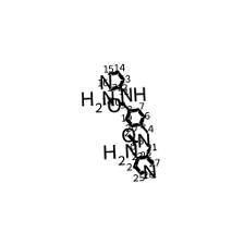 NC(=O)N(Cc1ccc(C(=O)Nc2cccnc2N)cc1)Cc1cccnc1